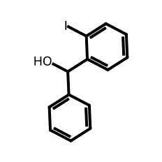 OC(c1ccccc1)c1ccccc1I